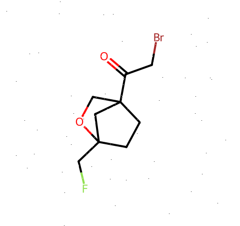 O=C(CBr)C12CCC(CF)(C1)OC2